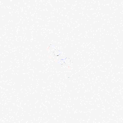 CCS(=O)(=O)c1cc(N(C)C(C)=O)cnc1-c1ncc2c(OCC(F)(F)C(F)(F)F)cccn12